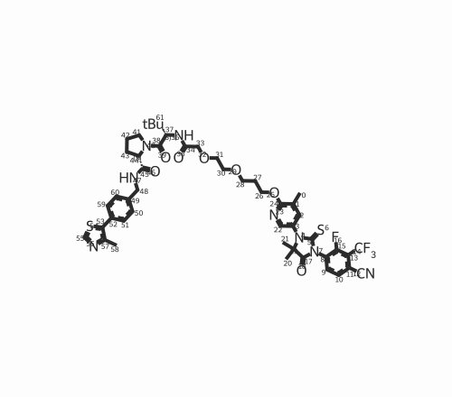 Cc1cc(N2C(=S)N(c3ccc(C#N)c(C(F)(F)F)c3F)C(=O)C2(C)C)cnc1OCCCOCCOCC(=O)N[C@H](C(=O)N1CCC[C@H]1C(=O)NCc1ccc(-c2scnc2C)cc1)C(C)(C)C